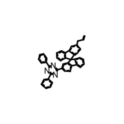 C=CCc1ccc2c(c1)-c1ccccc1C21c2ccccc2-c2ccc(-c3nc(-c4ccccc4)nc(-c4ccccc4)n3)cc21